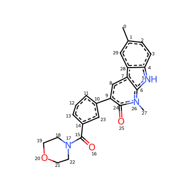 Cc1ccc2[nH]c3c(cc(-c4cccc(C(=O)N5CCOCC5)c4)c(=O)n3C)c2c1